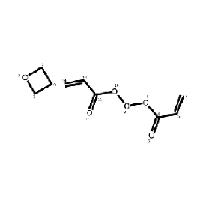 C1COC1.C=CC(=O)OOOC(=O)C=C